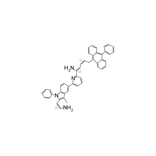 Cc1c(/C=C\N)n(-c2ccccc2)c2ccc(-c3cccc(/C(N)=C/C=C\Cc4c5ccccc5c(-c5ccccc5)c5ccccc45)n3)cc12